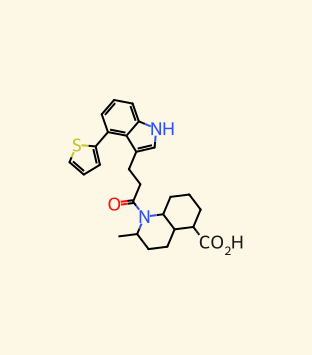 CC1CCC2C(C(=O)O)CCCC2N1C(=O)CCc1c[nH]c2cccc(-c3cccs3)c12